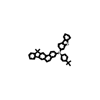 CC(C)(C)c1ccc(N(c2ccc3c(ccc4cc5c(cc43)C(C)(C)c3ccccc3-5)c2)c2ccc3c(c2)sc2ccccc23)cc1